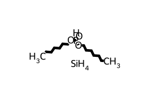 CCCCCCCO[PH](=O)OCCCCCCC.[SiH4]